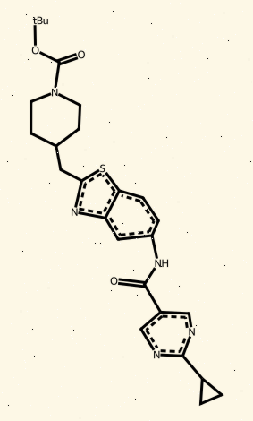 CC(C)(C)OC(=O)N1CCC(Cc2nc3cc(NC(=O)c4cnc(C5CC5)nc4)ccc3s2)CC1